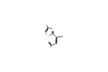 CC(C)c1cc(Cl)nn2cc(C(F)(F)F)nc12